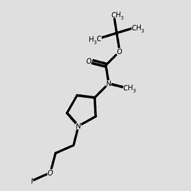 CN(C(=O)OC(C)(C)C)C1CCN(CCOI)C1